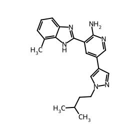 Cc1cccc2nc(-c3cc(-c4cnn(CCC(C)C)c4)cnc3N)[nH]c12